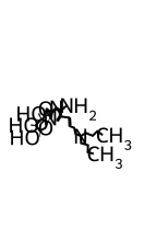 CCCCN(CCC=Cc1cn([C@@H]2O[C@H](CO)[C@@H](O)[C@H]2O)c(=O)nc1N)CCCC